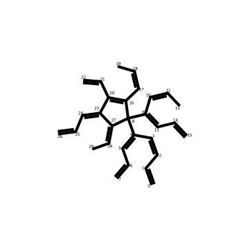 C=C/C=C\C(=C/C=C)C1(C(/C=C\C)=C/C=C)C(/C=C\C)=C(C=C)C(=C/C=C)/C1=C\C